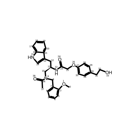 COc1ccccc1CN(C[C@@H](Cc1c[nH]c2ccccc12)NC(=O)COc1ccc(CCO)cc1)C(C)=O